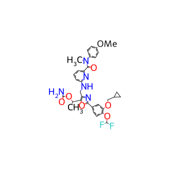 COc1ccc(N(C)C(=O)c2cccc(NCc3nc(-c4ccc(OC(F)F)c(OCC5CC5)c4)oc3C(C)OC(N)=O)n2)cc1